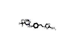 C=C(/C=C(\N=C/N)Nc1ccc(CC[C@H]2COC(N)=N2)cc1)C(F)(F)F